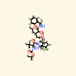 CCCC(CC(=O)[C@@H]1[C@H]2CCC(F)(F)[C@H]2CN1C(=O)[C@@H](NC(=O)OC(C)C)C(C)(C)C)C(=O)C(=O)N[C@H](C)c1ccccc1